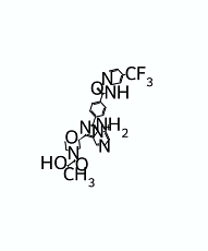 C[C@@H](O)C(=O)N1CCO[C@@H](C2=C3C=NC=C[N+]3(N)C(c3ccc(C(=O)Nc4cc(C(F)(F)F)ccn4)cc3)=N2)C1